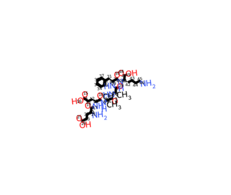 C[C@H](NC(=O)C(C)(C)NC(=O)[C@H](CCC(=O)O)NC(=O)[C@@H](N)CCC(=O)O)C(=O)N[C@@H](Cc1ccccc1)C(=O)N[C@@H](CCCCN)C(=O)O